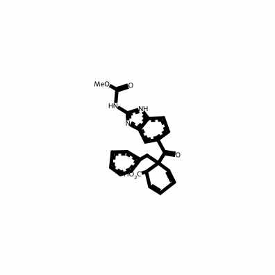 COC(=O)Nc1nc2cc(C(=O)C3(Cc4ccccc4)C=CC=CC3C(=O)O)ccc2[nH]1